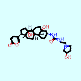 C[C@]12CC[C@H](NC(=O)NCCN3CC[C@@H](O)C3)C[C@@]1(O)CC[C@@H]1[C@@H]2CC[C@]2(C)[C@@H](c3ccc(=O)oc3)CC[C@]12O